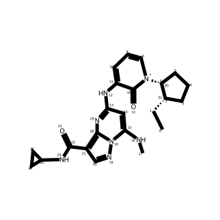 CC[C@H]1CCC[C@H]1n1cccc(Nc2cc(NC)n3ncc(C(=O)NC4CC4)c3n2)c1=O